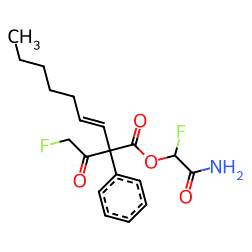 CCCCCC=CC(C(=O)CF)(C(=O)OC(F)C(N)=O)c1ccccc1